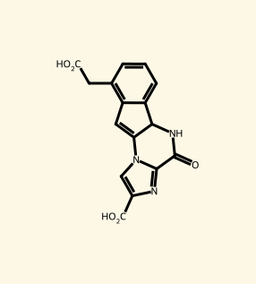 O=C(O)Cc1cccc2c1C=C1C2NC(=O)c2nc(C(=O)O)cn21